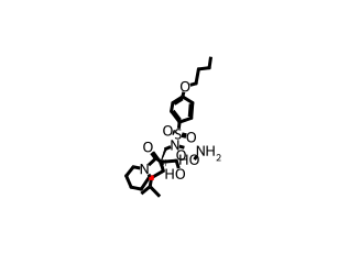 CCCCOc1ccc(S(=O)(=O)N(C)C[C@](CCC(C)C)(C(=O)O)C(=O)N2CCCCC2)cc1.NO